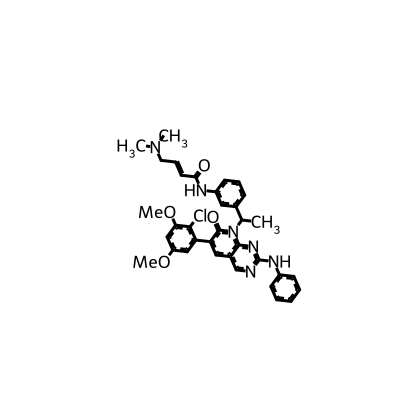 COc1cc(OC)c(Cl)c(-c2cc3cnc(Nc4ccccc4)nc3n(C(C)c3cccc(NC(=O)/C=C/CN(C)C)c3)c2=O)c1